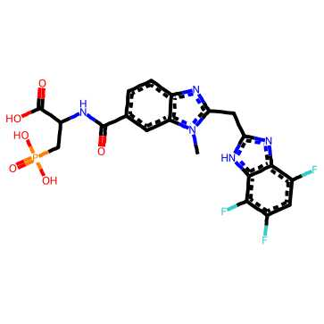 Cn1c(Cc2nc3c(F)cc(F)c(F)c3[nH]2)nc2ccc(C(=O)NC(CP(=O)(O)O)C(=O)O)cc21